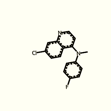 CN(c1ccc(F)cc1)c1ccnc2cc(Cl)ccc12